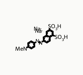 CNc1ccc(N=Nc2ccc3c(S(=O)(=O)O)cc(S(=O)(=O)O)cc3c2)cc1.[Na].[Na]